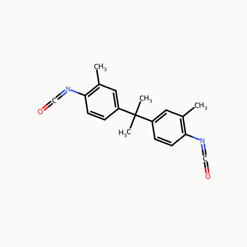 Cc1cc(C(C)(C)c2ccc(N=C=O)c(C)c2)ccc1N=C=O